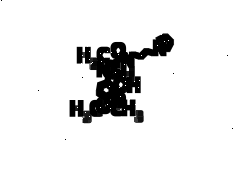 COc1ccc(-c2nc(C)c(C(=O)NCCCCN3CCCC3)s2)c(O)c1OC